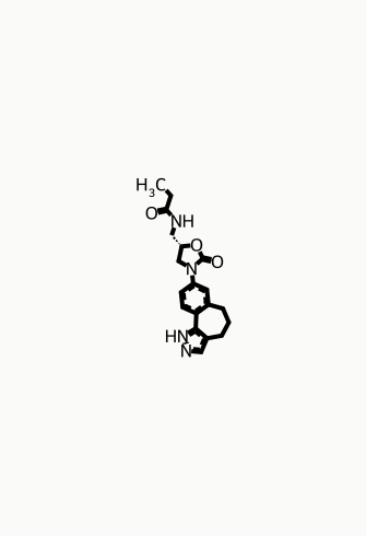 CCC(=O)NC[C@H]1CN(c2ccc3c(c2)CCCc2cn[nH]c2-3)C(=O)O1